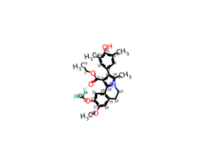 CCOC(=O)c1c(-c2cc(C)c(O)c(C)c2)c(C)n2c1-c1cc(OC(F)F)c(OC)cc1CC2